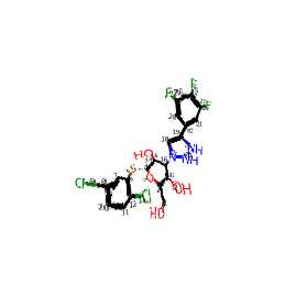 OCC1O[C@H](Sc2cc(Cl)ccc2Cl)C(O)C(N2C=C(c3cc(F)c(F)c(F)c3)NN2)[C@H]1O